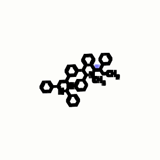 C=C/C(C1=CC=CCC1)=C1/c2ccccc2C(c2cccc(C3=CC(c4ccccc4)=NC(c4ccccc4)N3)c2)C(C2C=CC=CC2)N1C